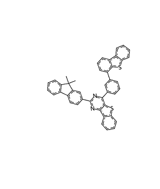 CC1(C)c2ccccc2-c2ccc(-c3nc(-c4cccc(-c5cccc6c5sc5ccccc56)c4)c4sc5ccccc5c4n3)cc21